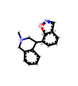 CN1Cc2ccccc2C(c2cccc3cnoc23)C1